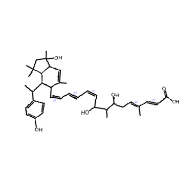 CC1=CC2C(C(C(C)c3ccc(O)cc3)C1\C=C/C=C/C=C\C(O)C(C)C(O)C/C=C(C)/C=C/C(=O)O)C(C)(C)CC2(C)O